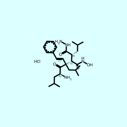 CC(C)C[C@H](N)C(=O)C(/C=C/c1ccccc1)(CC(C)C)[C@@H](C(=O)NO)[C@@H](CC(C)C)C(=O)NN.Cl